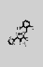 C=C(C(=O)OCc1c(Cl)cccc1Cl)C(O)c1nccs1